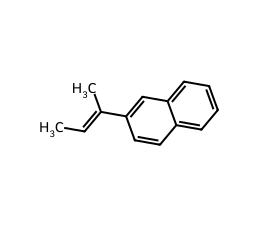 C/C=C(\C)c1ccc2ccccc2c1